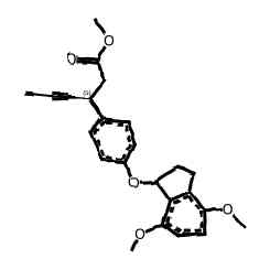 CC#C[C@@H](CC(=O)OC)c1ccc(OC2CCc3c(OC)ccc(OC)c32)cc1